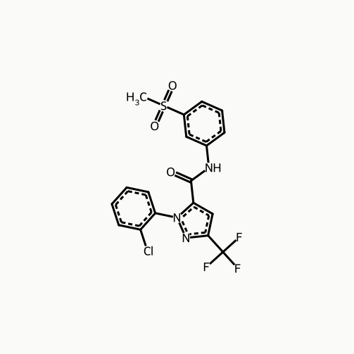 CS(=O)(=O)c1cccc(NC(=O)c2cc(C(F)(F)F)nn2-c2ccccc2Cl)c1